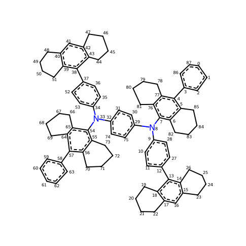 c1ccc(-c2c3c(c(N(c4ccc(-c5c6c(cc7c5CCCC7)CCCC6)cc4)c4ccc(N(c5ccc(-c6c7c(cc8c6CCCC8)CCCC7)cc5)c5c6c(c(-c7ccccc7)c7c5CCCC7)CCCC6)cc4)c4c2CCCC4)CCCC3)cc1